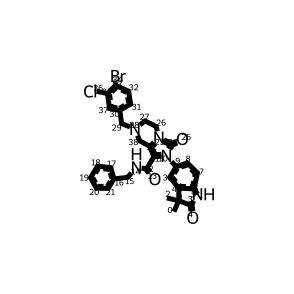 CC1(C)C(=O)Nc2ccc(-n3c(C(=O)NCc4ccccc4)c4n(c3=O)CCN(Cc3ccc(Br)c(Cl)c3)C4)cc21